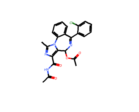 CC(=O)NC(=O)c1nc(C)n2c1C(OC(C)=O)N=C(c1ccccc1Cl)c1ccccc1-2